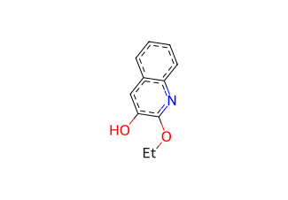 [CH2]COc1nc2ccccc2cc1O